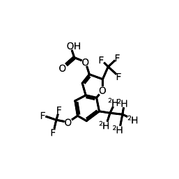 [2H]C([2H])([2H])C([2H])([2H])c1cc(OC(F)(F)F)cc2c1OC(C(F)(F)F)C(OC(=O)O)=C2